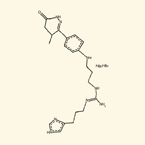 Br.Br.CC1CC(=O)NN=C1c1ccc(NCCCNC(N)=NCCCc2c[nH]cn2)cc1